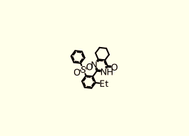 CCc1cccc(S(=O)(=O)c2ccccc2)c1-c1nc2c(c(=O)[nH]1)CCCC2